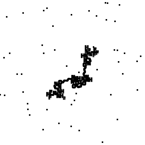 NC(=NCC(F)(F)F)Nc1ccnc(OCCCCc2n[nH]c(OC(=O)/C=C\C(=O)Oc3nc(CCCCOc4nccc(NC(N)=NCC(F)(F)F)n4)n[nH]3)n2)n1